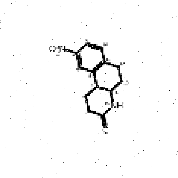 O=C1CCC2c3cc([N+](=O)[O-])ccc3CCC2N1